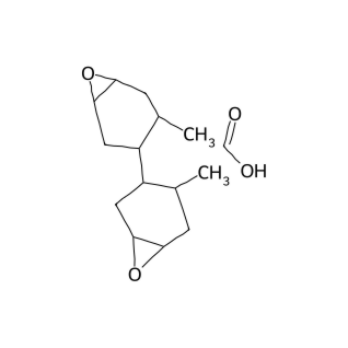 CC1CC2OC2CC1C1CC2OC2CC1C.O=CO